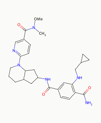 CON(C)C(=O)c1ccc(N2CCCC3CC(NC(=O)c4ccc(C(N)=O)c(NCC5CC5)c4)CC32)nc1